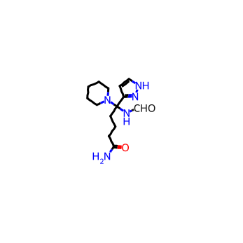 NC(=O)CCCC(NC=O)(c1cc[nH]n1)N1CCCCC1